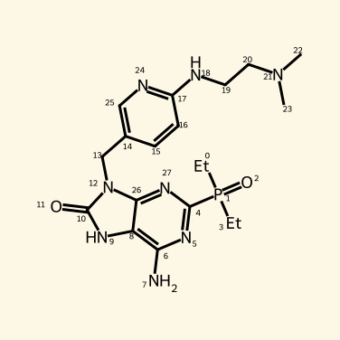 CCP(=O)(CC)c1nc(N)c2[nH]c(=O)n(Cc3ccc(NCCN(C)C)nc3)c2n1